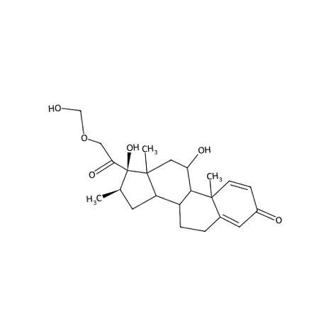 C[C@@H]1CC2C3CCC4=CC(=O)C=CC4(C)C3C(O)CC2(C)[C@@]1(O)C(=O)COCO